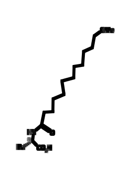 CCC(C)[C@H](NC(=O)CCCCCCCCCCCOC)C(=O)O